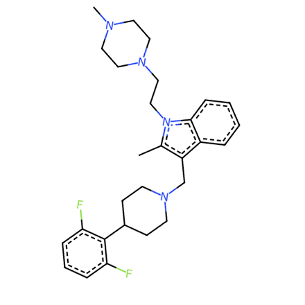 Cc1c(CN2CCC(c3c(F)cccc3F)CC2)c2ccccc2n1CCN1CCN(C)CC1